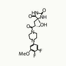 COc1cc(N2CCN(C(=O)[C@@H](CO)C[C@@]3(C)NC(=O)NC3=O)CC2)cc(F)c1F